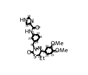 CCC1SC(=O)N(Cc2cccc(NC(=O)c3c[nH]cn3)c2)N=C1c1ccc(OC)c(OC)c1